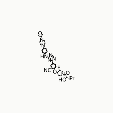 CC(C)C(O)C(=O)N1CCC(Oc2ccc(-c3ncnc(Nc4ccc(N5CCN(C6COC6)CC5)cc4)n3)cc2C#N)C(F)C1